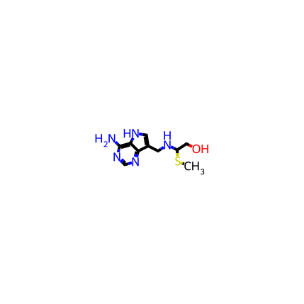 CSC(CO)NCc1c[nH]c2c(N)ncnc12